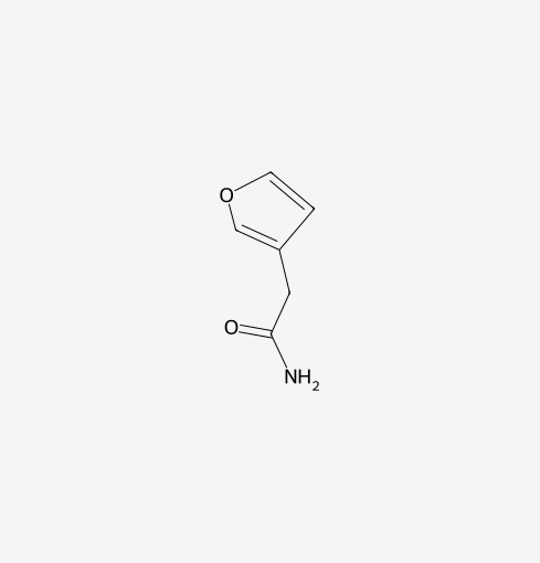 NC(=O)Cc1ccoc1